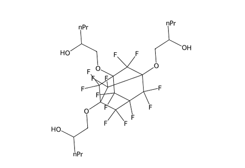 CCCC(O)COC12C(F)(F)C3(F)C(F)(F)C(OCC(O)CCC)(C1(F)F)C(F)(F)C(OCC(O)CCC)(C3(F)F)C2(F)F